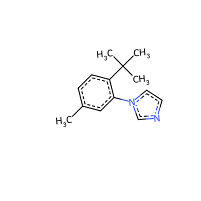 Cc1ccc(C(C)(C)C)c(-n2ccnc2)c1